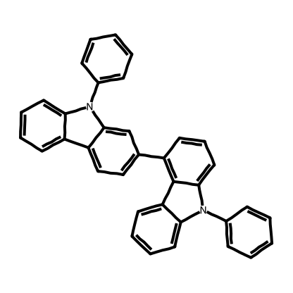 c1ccc(-n2c3ccccc3c3ccc(-c4cccc5c4c4ccccc4n5-c4ccccc4)cc32)cc1